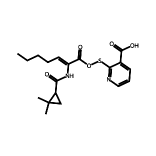 CCCCC=C(NC(=O)C1CC1(C)C)C(=O)OSc1ncccc1C(=O)O